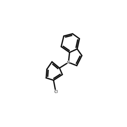 Clc1[c]ccc(-n2ccc3ccccc32)c1